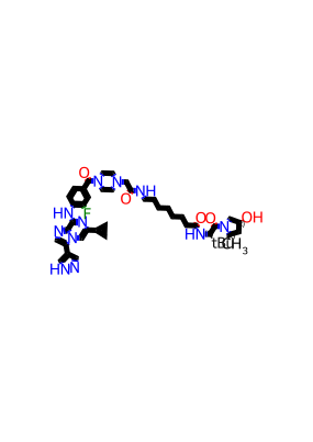 C[C@@H]1C[C@@H](O)CN1C(=O)[C@@H](NC(=O)CCCCCCCNC(=O)CN1CCN(C(=O)c2ccc(Nc3nc(C4CC4)cn4c(-c5cn[nH]c5)cnc34)c(F)c2)CC1)C(C)(C)C